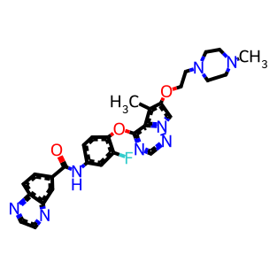 Cc1c(OCCN2CCN(C)CC2)cn2ncnc(Oc3ccc(NC(=O)c4ccc5nccnc5c4)cc3F)c12